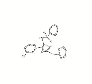 O=S(=O)(Nc1nc(Cc2ccccc2)oc1-c1cccc(Cl)c1)c1ccccc1